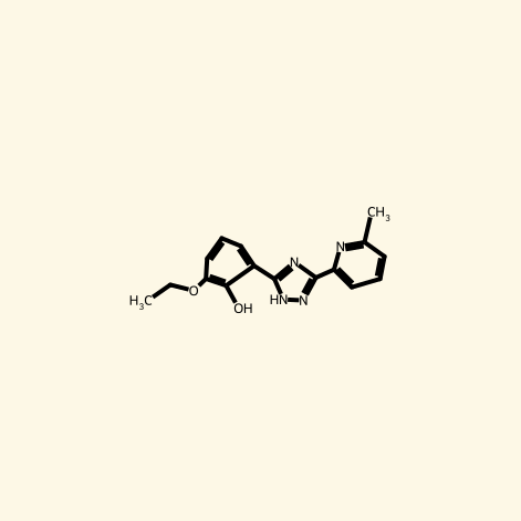 CCOc1cccc(-c2nc(-c3cccc(C)n3)n[nH]2)c1O